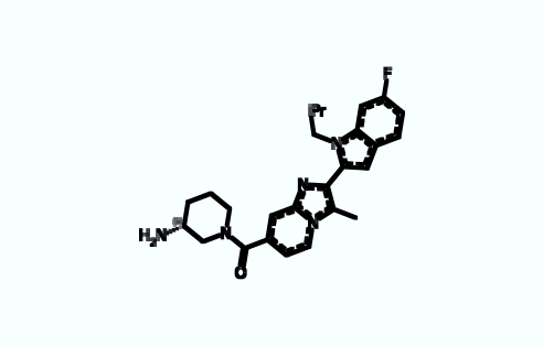 Cc1c(-c2cc3ccc(F)cc3n2CC(C)C)nc2cc(C(=O)N3CCC[C@@H](N)C3)ccn12